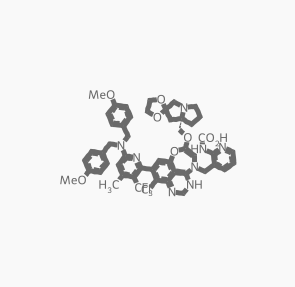 COc1ccc(CN(Cc2ccc(OC)cc2)c2cc(C)c(C(F)(F)F)c(-c3cc4c5c(c3Cl)=NCNC=5N(Cc3cccnc3NC(=O)O)C=C(OC[C@@]35CCCN3CC3(C5)OCCO3)O4)n2)cc1